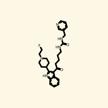 O=C(NCCCCC(=O)c1c(C2CCN(CCF)CC2)[nH]c2ccccc12)NCc1cccnc1